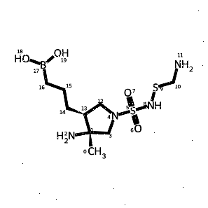 C[C@]1(N)CN(S(=O)(=O)NSCN)C[C@@H]1CCCB(O)O